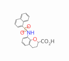 O=C(O)C1CCc2cccc(NS(=O)(=O)c3cccc4ccccc34)c2O1